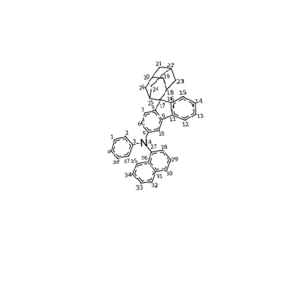 c1ccc(N(c2ccc3c(c2)-c2ccccc2C32C3CC4CC(C3)CC2C4)c2cccc3ccccc23)cc1